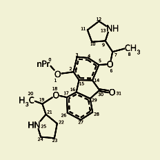 CCCOc1ccc(OC(C)C2CCCN2)c2c1-c1c(OC(C)C3CCCN3)cccc1C2=O